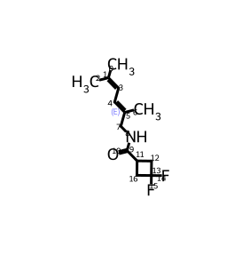 CC(C)=C/C=C(\C)CNC(=O)C1CC(F)(F)C1